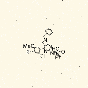 COc1cc(-c2nc(N)nc3c2CN(Cc2ccccc2)C3)c(Cl)cc1Br.O=C(O)C(F)(F)F